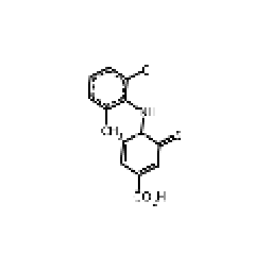 Cc1cccc(Cl)c1NC1C=CC(C(=O)O)=CC1=S